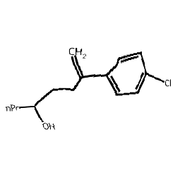 C=C(CCC(O)CCC)c1ccc(Cl)cc1